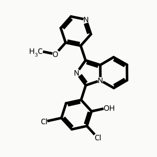 COc1ccncc1-c1nc(-c2cc(Cl)cc(Cl)c2O)n2ccccc12